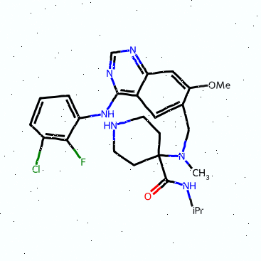 COc1cc2ncnc(Nc3cccc(Cl)c3F)c2cc1CN(C)C1(C(=O)NC(C)C)CCNCC1